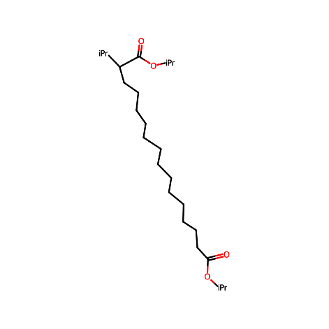 CC(C)OC(=O)CCCCCCCCCCCCCC(C(=O)OC(C)C)C(C)C